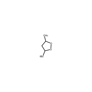 CC(=O)OC1CC(C(C)(C)C)OO1